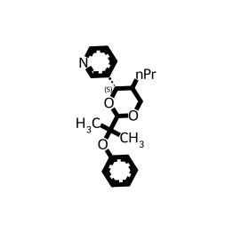 CCCC1COC(C(C)(C)Oc2ccccc2)O[C@@H]1c1cccnc1